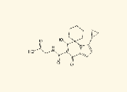 O=C(O)CNC(=O)C1=C(O)C2(CCCCC2)n2c(ccc2C2CC2)C1=O